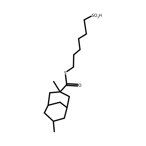 CC1CC2CC(C1)CC(C)(C(=O)SCCCCCCS(=O)(=O)O)C2